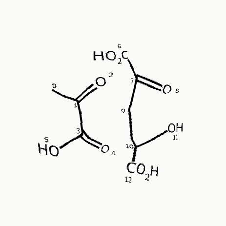 CC(=O)C(=O)O.O=C(O)C(=O)CC(O)C(=O)O